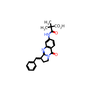 CC(C)(C(=O)O)C(=O)Nc1ccc2c(=O)n3c(nc2c1)C(=Cc1ccccc1)CC3